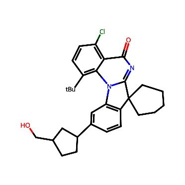 CC(C)(C)c1ccc(Cl)c2c(=O)nc3n(c12)-c1cc(C2CCC(CO)C2)ccc1C31CCCCC1